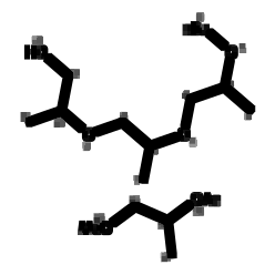 CCCCOC(C)COC(C)COC(C)CO.COCC(C)OC(C)=O